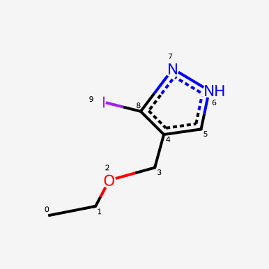 CCOCc1c[nH]nc1I